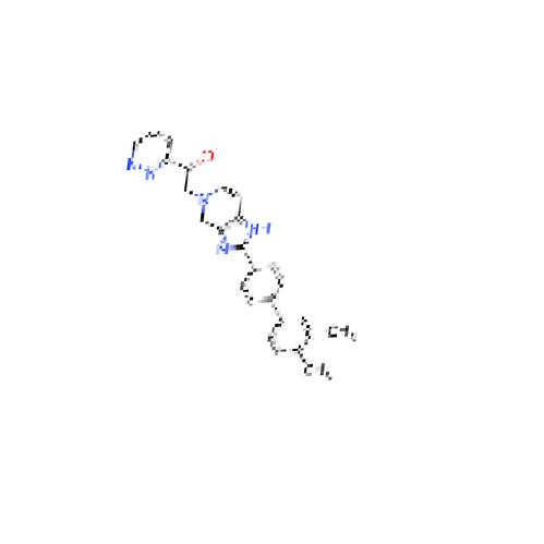 Cc1ccc(-c2ccc(-c3nc4c([nH]3)C=CN(CC(=O)c3cccnn3)C4)cc2)cc1C